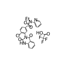 CCN(c1ccccn1)S(=O)(=O)c1ccc(Cl)c(-n2c(=O)[nH]c3ccccc3c2=O)c1.O=C(O)C(F)(F)F